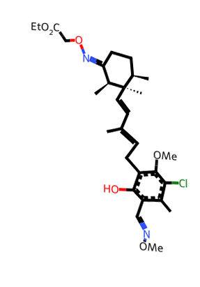 CCOC(=O)CO/N=C1\CC[C@@H](C)[C@@](C)(/C=C/C(C)=C/Cc2c(O)c(/C=N/OC)c(C)c(Cl)c2OC)[C@H]1C